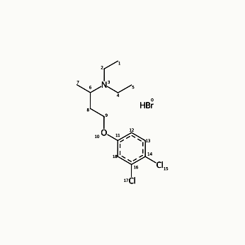 Br.CCN(CC)C(C)CCOc1ccc(Cl)c(Cl)c1